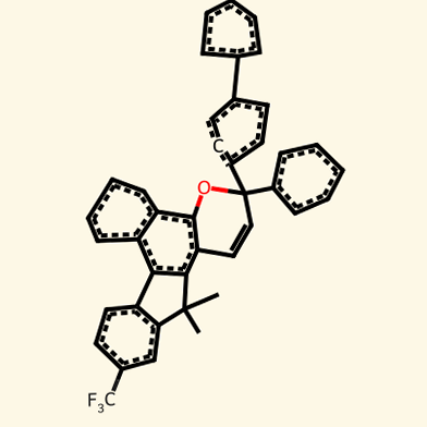 CC1(C)c2cc(C(F)(F)F)ccc2-c2c1c1c(c3ccccc23)OC(c2ccccc2)(c2ccc(-c3ccccc3)cc2)C=C1